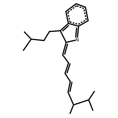 [CH2]C(C=CC=CC=C1N=c2ccccc2=C1CCC(C)C)C(C)C